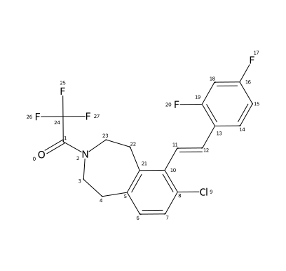 O=C(N1CCc2ccc(Cl)c(C=Cc3ccc(F)cc3F)c2CC1)C(F)(F)F